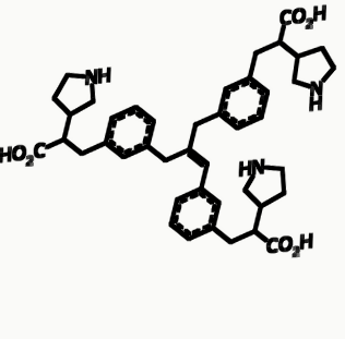 O=C(O)C(Cc1cccc(C=C(Cc2cccc(CC(C(=O)O)C3CCNC3)c2)Cc2cccc(CC(C(=O)O)C3CCNC3)c2)c1)C1CCNC1